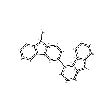 CC(C)n1c2ccccc2c2cc(-c3cccc4sc5ccccc5c34)ccc21